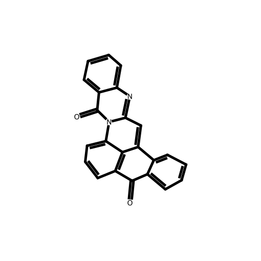 O=c1c2ccccc2c2cc3nc4ccccc4c(=O)n3c3cccc1c23